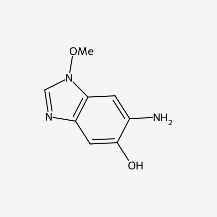 COn1cnc2cc(O)c(N)cc21